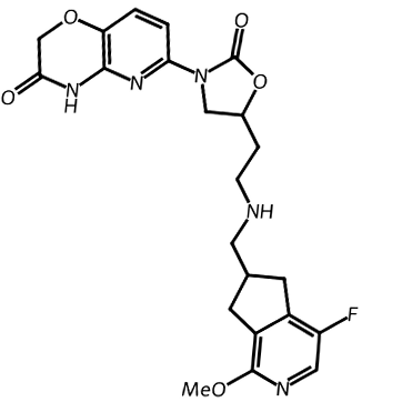 COc1ncc(F)c2c1CC(CNCCC1CN(c3ccc4c(n3)NC(=O)CO4)C(=O)O1)C2